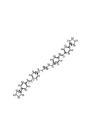 C(=C\c1cc[n+](CCSSCC[n+]2ccc(/C=C/c3ccc(N4CCCC4)cc3)cc2)cc1)/c1ccc(N2CCCC2)cc1